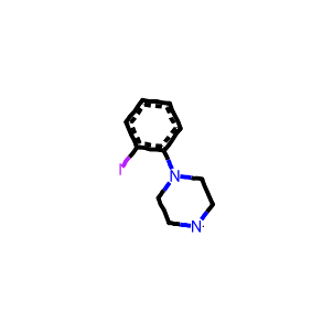 Ic1ccccc1N1CC[N]CC1